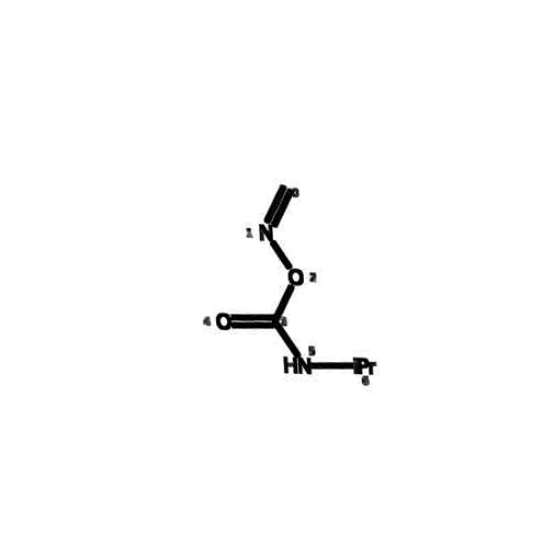 C=NOC(=O)NC(C)C